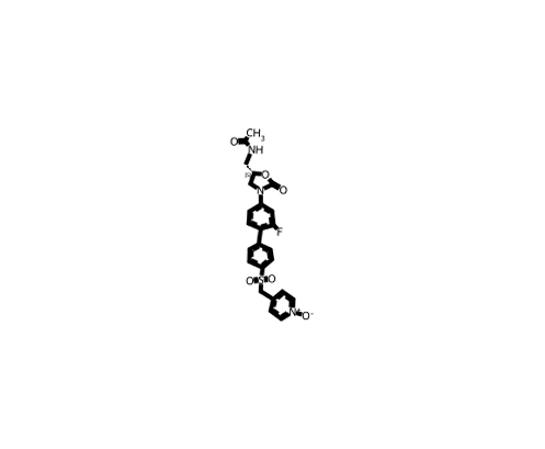 CC(=O)NC[C@H]1CN(c2ccc(-c3ccc(S(=O)(=O)Cc4cc[n+]([O-])cc4)cc3)c(F)c2)C(=O)O1